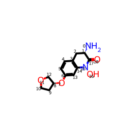 N[C@H]1Cc2ccc(O[C@H]3CCOC3)cc2N(O)C1=O